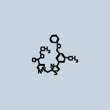 CCOC(=O)c1cnn(Cc2nc(-c3cc(C)cc(COc4ccccc4)c3)cs2)c1